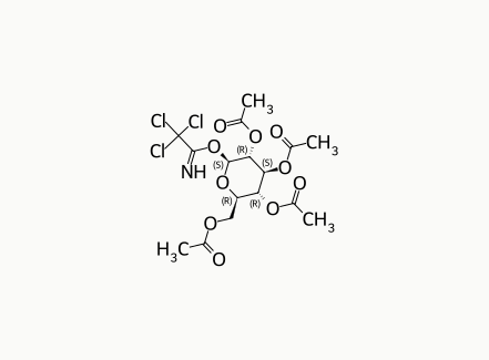 CC(=O)OC[C@H]1O[C@@H](OC(=N)C(Cl)(Cl)Cl)[C@H](OC(C)=O)[C@@H](OC(C)=O)[C@@H]1OC(C)=O